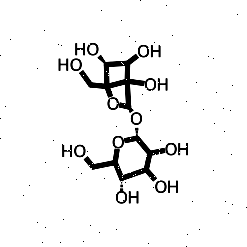 OCC1O[C@H](O[C@H]2OC3(CO)[C@@H](O)C(O)C23O)C(O)C(O)[C@@H]1O